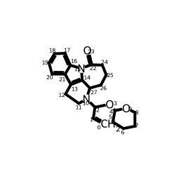 C=CC(OC1CCCCO1)N1CCc2c3n(c4ccccc24)C(=O)CCCC31